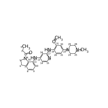 CCC(=O)N1CCc2cccc(Nc3ccnc(Nc4ccc(N5CCN(C)CC5)cc4OC)c3)c21